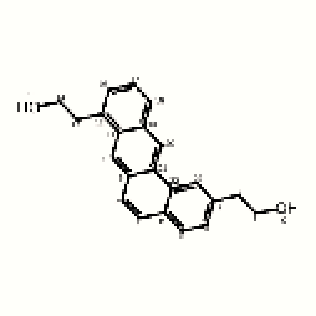 OCCc1ccc2ccc3cc4c(CCO)cccc4cc3c2c1